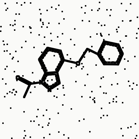 CC(=O)n1ncc2c(OCc3ccccc3)cccc21